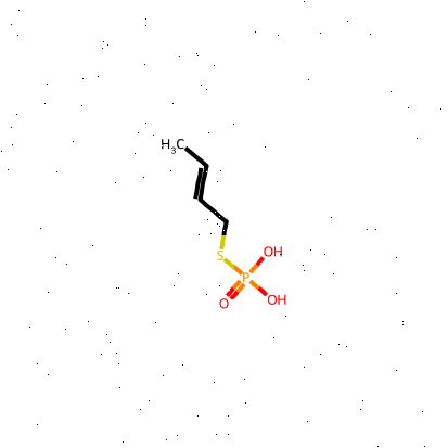 CC=CCSP(=O)(O)O